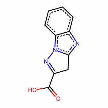 O=C(O)C1=Nn2c(nc3ccccc32)C1